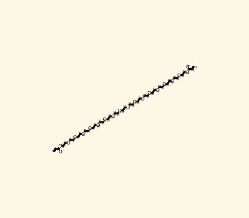 C=CC(=O)OCCOCCOCCOCCOCCOCCOCCOCCOCCOCCOCCOCCOCCOCCOCCOCCOCCOC(=O)C=C